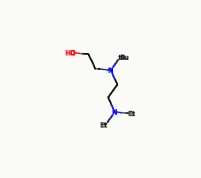 CCN(CC)CCN(CCO)C(C)(C)C